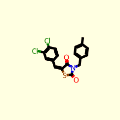 Cc1ccc(CN2C(=O)SC(=Cc3ccc(Cl)c(Cl)c3)C2=O)cc1